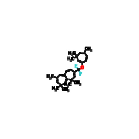 CC1=CC(C)(C)C=C(OC(F)(F)C2=CC(C)(C)C3=CC(C)(C)C=C(C)C=C3C=C2)C=C1